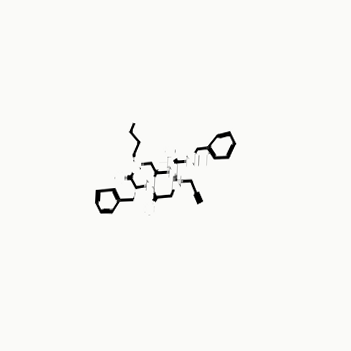 C#CCN1CC(=O)N2[C@@H](Cc3ccccc3)C(=O)N(CCCC)C[C@@H]2N1C(=O)NCc1ccccc1